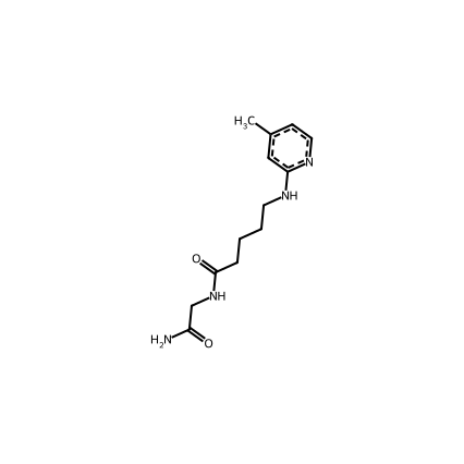 Cc1ccnc(NCCCCC(=O)NCC(N)=O)c1